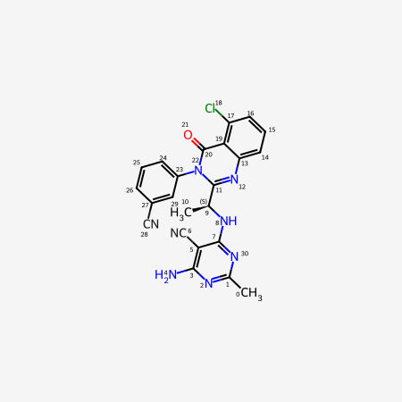 Cc1nc(N)c(C#N)c(N[C@@H](C)c2nc3cccc(Cl)c3c(=O)n2-c2cccc(C#N)c2)n1